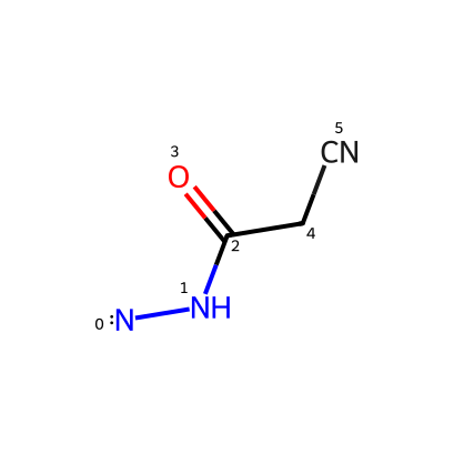 [N]NC(=O)CC#N